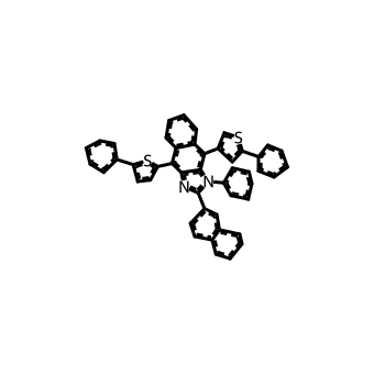 c1ccc(-c2cc(-c3c4ccccc4c(-c4ccc(-c5ccccc5)s4)c4nc(-c5ccc6ccccc6c5)n(-c5ccccc5)c34)cs2)cc1